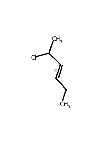 CC/C=C/C(C)Cl